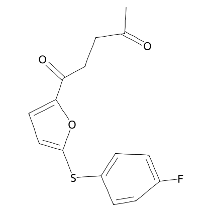 CC(=O)CCC(=O)c1ccc(Sc2ccc(F)cc2)o1